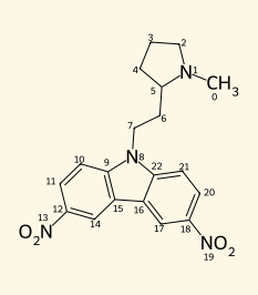 CN1CCCC1CCn1c2ccc([N+](=O)[O-])cc2c2cc([N+](=O)[O-])ccc21